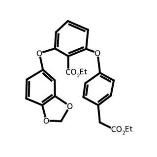 CCOC(=O)Cc1ccc(Oc2cccc(Oc3ccc4c(c3)OCO4)c2C(=O)OCC)cc1